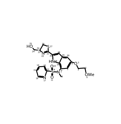 COCCOc1cc(N(C)S(=O)(=O)c2ccccn2)c2[nH]c(C3=N[C@@H](CO)CS3)cc2c1